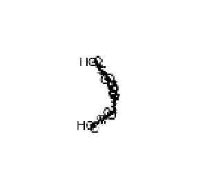 CC(C)(CCCCC1CCC2C3=C(CCC12C)C1(C)CCC(OC(=O)CCSSCCC(=O)O)C(C)(C)C1CC3)OC(=O)CCSSCCC(=O)O